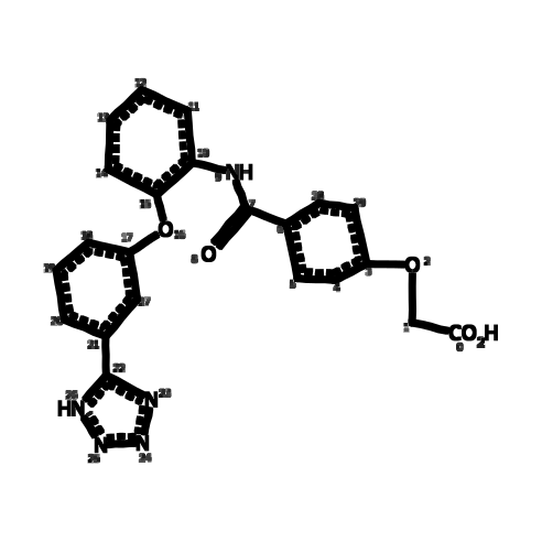 O=C(O)COc1ccc(C(=O)Nc2ccccc2Oc2cccc(-c3nnn[nH]3)c2)cc1